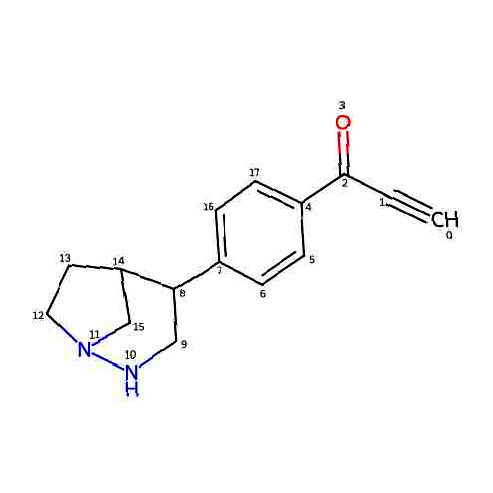 C#CC(=O)c1ccc(C2CNN3CCC2C3)cc1